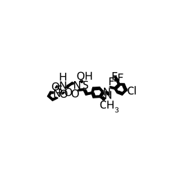 Cc1nn(Cc2ccc(Cl)cc2C(F)(F)F)c2ccc(/C=C3\SC(O)N(CC(=O)NS(=O)(=O)N4CCCC4)C3=O)cc12